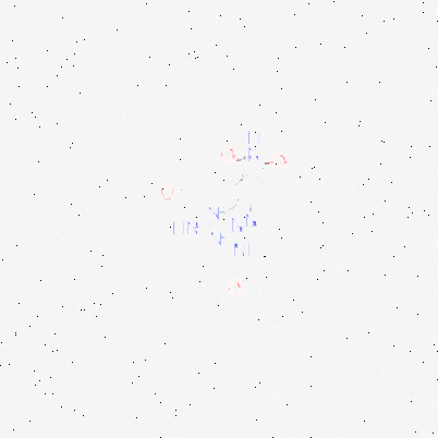 COCCNc1nc(NC2CCOCC2)nc2c(/C=C3\CC(=O)NC3=O)cnn12